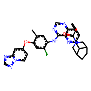 C=CC(=O)N1CC2CCC(C1)C2c1ccc2ncnc(Nc3cc(C)c(Oc4ccn5ncnc5c4)cc3F)c2n1